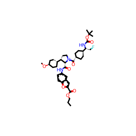 CCCOC(=O)c1cc2cc(NC(=O)[C@@H]3[C@H]([C@H]4CC[C@H](OC)CC4)CCN3C(=O)[C@H]3CC[C@H]([C@@H](CF)NC(=O)OC(C)(C)C)CC3)ccc2o1